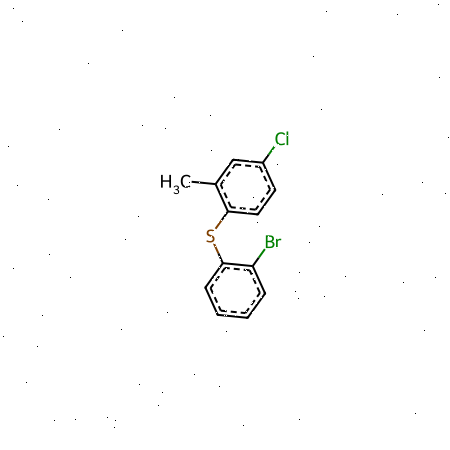 Cc1cc(Cl)ccc1Sc1ccccc1Br